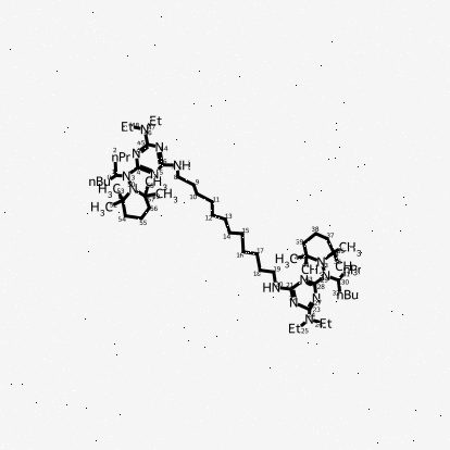 CCCCC(CCC)N(c1nc(NCCCCCCCCCCCCNc2nc(N(CC)CC)nc(N(C(CCC)CCCC)N3C(C)(C)CCCC3(C)C)n2)nc(N(CC)CC)n1)N1C(C)(C)CCCC1(C)C